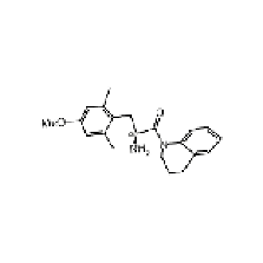 COc1cc(C)c(C[C@H](N)C(=O)N2CCCc3ccccc32)c(C)c1